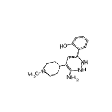 CN1CCC(C2=C(N)NNC(c3ccccc3O)=C2)CC1